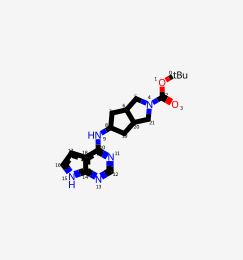 CC(C)(C)OC(=O)N1CC2CC(Nc3ncnc4[nH]ccc34)CC2C1